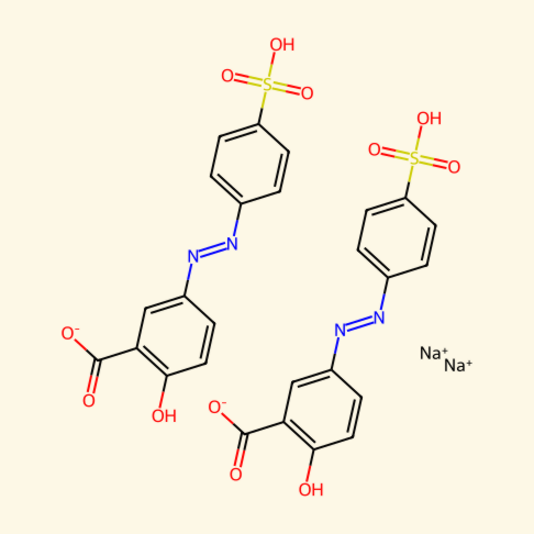 O=C([O-])c1cc(N=Nc2ccc(S(=O)(=O)O)cc2)ccc1O.O=C([O-])c1cc(N=Nc2ccc(S(=O)(=O)O)cc2)ccc1O.[Na+].[Na+]